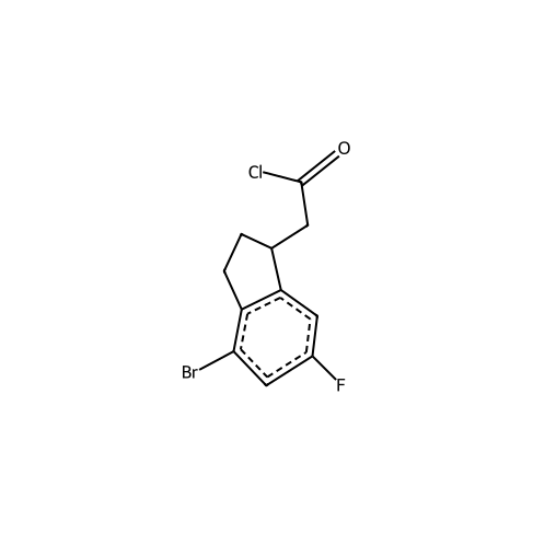 O=C(Cl)CC1CCc2c(Br)cc(F)cc21